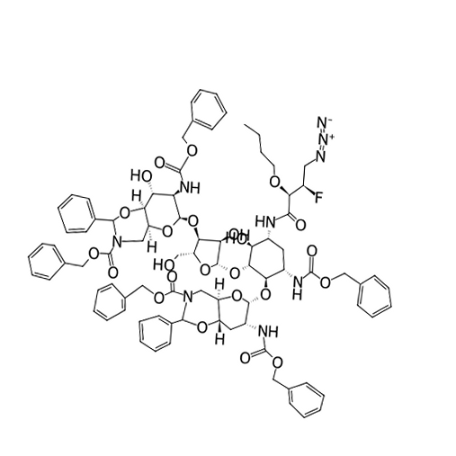 CCCCO[C@H](C(=O)N[C@@H]1C[C@H](NC(=O)OCc2ccccc2)[C@@H](O[C@H]2O[C@@H]3CN(C(=O)OCc4ccccc4)C(c4ccccc4)O[C@H]3C[C@H]2NC(=O)OCc2ccccc2)[C@H](O[C@@H]2O[C@H](CO)[C@@H](O[C@H]3O[C@H]4CN(C(=O)OCc5ccccc5)C(c5ccccc5)O[C@H]4[C@H](O)[C@H]3NC(=O)OCc3ccccc3)[C@H]2O)[C@H]1O)[C@H](F)CN=[N+]=[N-]